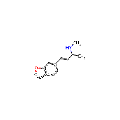 CNC(C)C=Cc1ccc2ccoc2c1